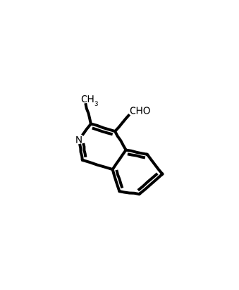 Cc1ncc2ccccc2c1C=O